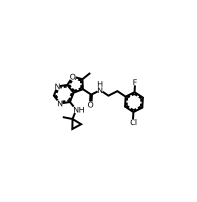 Cc1oc2ncnc(NC3(C)CC3)c2c1C(=O)NCCc1cc(Cl)ccc1F